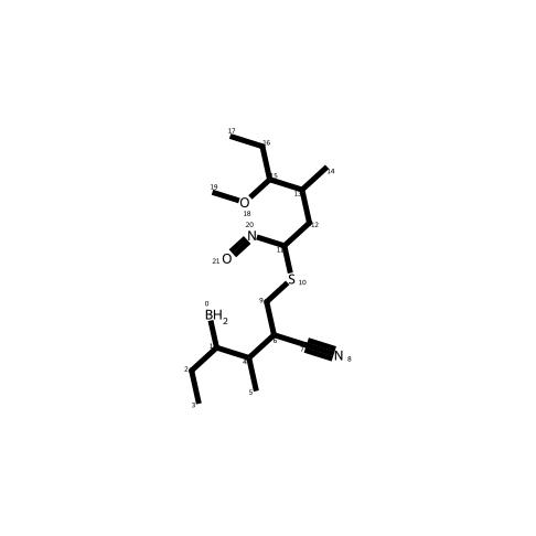 BC(CC)C(C)C(C#N)CSC(CC(C)C(CC)OC)N=O